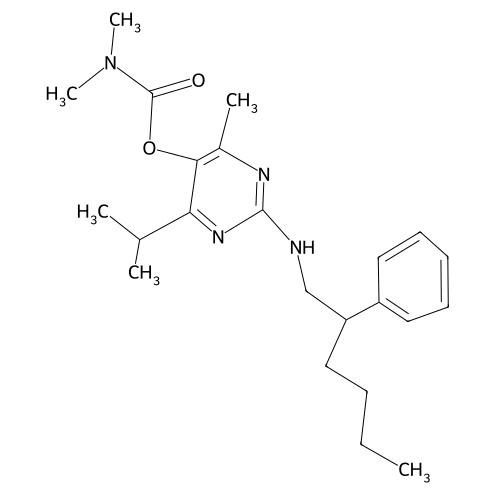 CCCCC(CNc1nc(C)c(OC(=O)N(C)C)c(C(C)C)n1)c1ccccc1